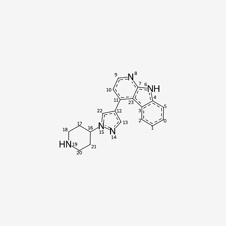 c1ccc2c(c1)[nH]c1nccc(-c3cnn(C4CCNCC4)c3)c12